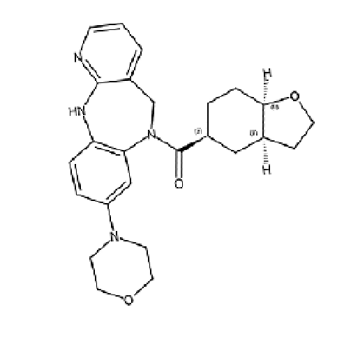 O=C([C@H]1CC[C@H]2OCC[C@H]2C1)N1Cc2cccnc2Nc2ccc(N3CCOCC3)cc21